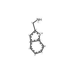 [NH]Cc1cc2ccccc2s1